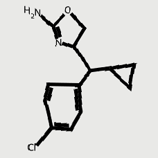 NC1=NC(C(c2ccc(Cl)cc2)C2CC2)CO1